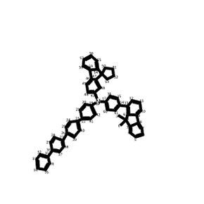 CC1(C)c2ccccc2-c2cccc(-c3ccc(N(c4ccc(-c5ccc(-c6ccc(-c7ccccc7)cc6)cc5)cc4)c4ccc5c(c4)C4(CCCC4)c4ccccc4-5)cc3)c21